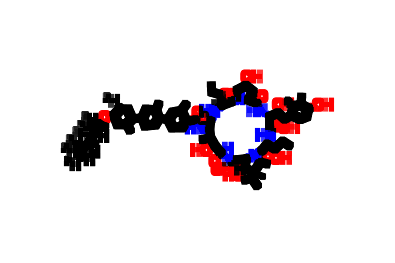 [2H]c1cc(-c2ccc(-c3ccc(C(=O)N[C@@H]4C(=O)N[C@@](C)([C@H](O)CC)C(=O)N5C[C@H](O)C[C@@]5(C)C(=O)N[C@@H]([C@H](O)[C@@H](O)c5ccc(O)c(C)c5C)C(=O)N[C@@H]([C@H](O)CC)C(=O)N5C(C)[C@](C)(C(C)C)[C@H](O)[C@H]5C(=O)N[C@H](OO)[C@H](O)C4C)c(C)c3)c(C)c2)c(C)cc1OC([2H])(C)C([2H])([2H])C([2H])(C)C([2H])([2H])C([2H])([2H])[2H]